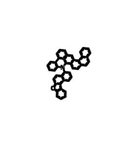 c1ccc(-c2ccccc2N(c2cccc3c2ccc2ccc4ccccc4c23)c2cccc3c2ccc2oc4ccccc4c23)cc1